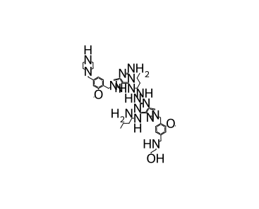 CCCC(N)Nc1nc(NNC(CCC)Nc2nc(N)nc3cn(Cc4ccc(CN5CCNCC5)cc4OC)nc23)nc2cn(Cc3ccc(CNCCO)cc3OC)nc12